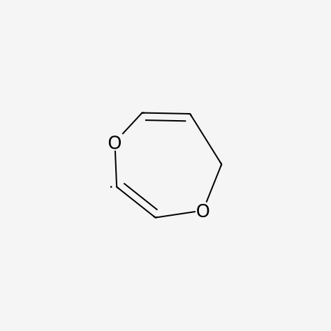 [C]1=COCC=CO1